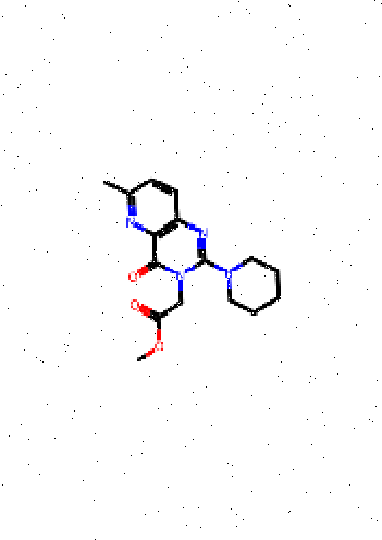 COC(=O)Cn1c(N2CCCCC2)nc2ccc(C)nc2c1=O